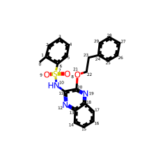 Cc1ccccc1S(=O)(=O)Nc1nc2ccccc2nc1OCCc1ccccc1